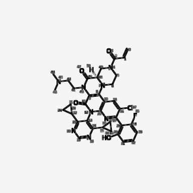 C=CC(=O)N1CCN2c3c(c(=O)n(-c4c(C5CC5)ncnc4C4CC4)c4nc(-c5c(O)cccc5F)c(Cl)cc34)N(CCN(C)C)C(=O)[C@H]2C1